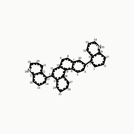 c1cc(-c2ccc3c(ccc4cc(-c5cccc6ncccc56)c5ccccc5c43)c2)c2cccnc2c1